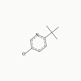 CC(C)(C)c1ccc(Cl)cn1